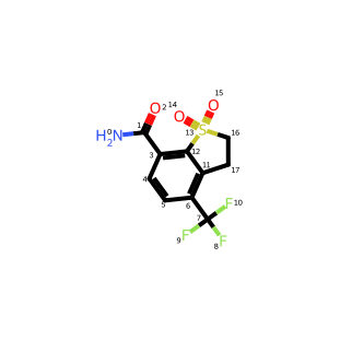 NC(=O)c1ccc(C(F)(F)F)c2c1S(=O)(=O)CC2